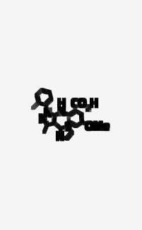 COc1ccc(Nc2c(-c3nccs3)c(C)nn2-c2ccccc2C)c(C(=O)O)c1